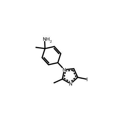 Cc1nc(I)cn1C1C=CC(C)(N)C=C1